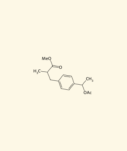 COC(=O)C(C)Cc1ccc(C(C)OC(C)=O)cc1